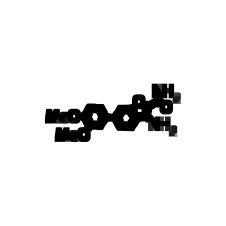 COc1ccc(-c2ccc3c(N)c(C(N)=O)oc3c2)cc1OC